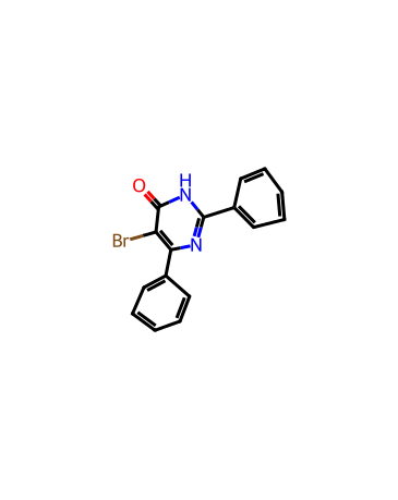 O=c1[nH]c(-c2ccccc2)nc(-c2ccccc2)c1Br